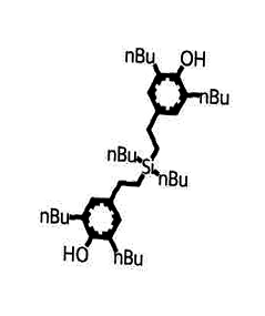 CCCCc1cc(CC[Si](CCCC)(CCCC)CCc2cc(CCCC)c(O)c(CCCC)c2)cc(CCCC)c1O